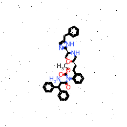 COC(=O)N(C(=O)[C@@H](N)C(c1ccccc1)c1ccccc1)c1ccccc1CC[C@@H]1CN[C@H](c2ncc(Cc3ccccc3)[nH]2)CO1